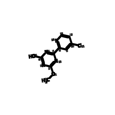 COc1nc(O)nc(-c2cc(Cl)ccn2)n1